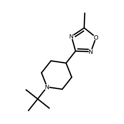 Cc1nc(C2CCN(C(C)(C)C)CC2)no1